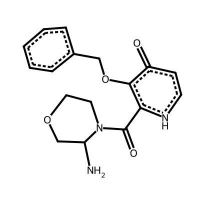 NC1COCCN1C(=O)c1[nH]ccc(=O)c1OCc1ccccc1